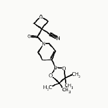 CC1(C)OB(C2=CCN(C(=O)C3(C#N)COC3)CC2)OC1(C)C